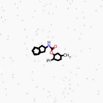 CC1CCC(C(C)C)C(OC(=O)NC2Cc3ccccc3C2)C1